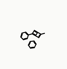 Cc1cc2c(-c3ccccc3)cc1-2.[c]1ccccc1